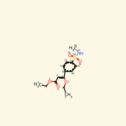 CCOC(=O)C=C(OCC)c1ccc(S(=O)(=O)NC)cc1